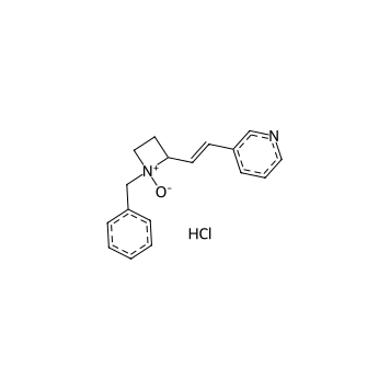 Cl.[O-][N+]1(Cc2ccccc2)CCC1C=Cc1cccnc1